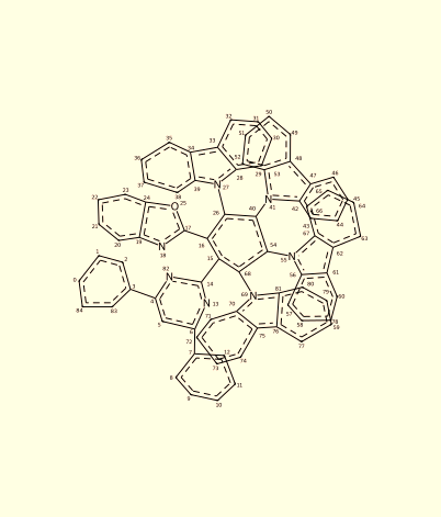 c1ccc(-c2cc(-c3ccccc3)nc(-c3c(-c4nc5ccccc5o4)c(-n4c5ccccc5c5ccccc54)c(-n4c5ccccc5c5ccccc54)c(-n4c5ccccc5c5ccccc54)c3-n3c4ccccc4c4ccccc43)n2)cc1